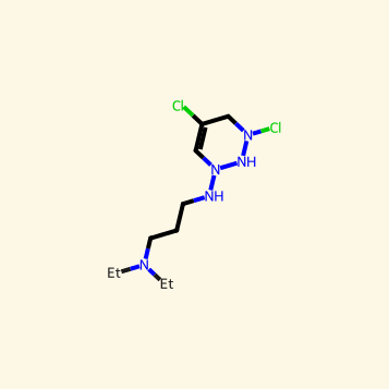 CCN(CC)CCCNN1C=C(Cl)CN(Cl)N1